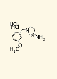 COc1cccc(CN2CC[C@@H](N)C2)c1.Cl.Cl